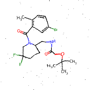 Cc1ccc(Br)cc1C(=O)N1CC(F)(F)CCC1CNC(=O)OC(C)(C)C